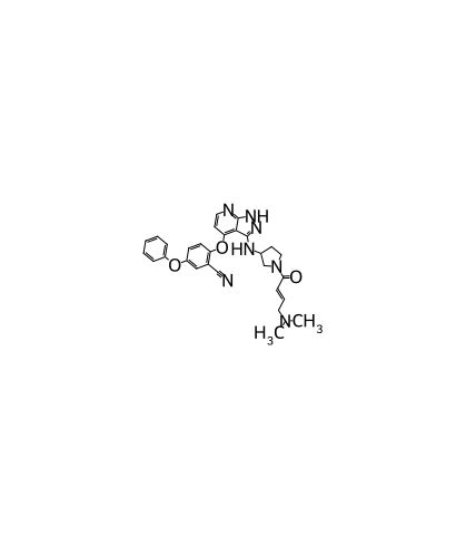 CN(C)CC=CC(=O)N1CCC(Nc2n[nH]c3nccc(Oc4ccc(Oc5ccccc5)cc4C#N)c23)C1